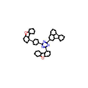 c1ccc2c(c1)-c1cccc3cc(-c4nc(-c5ccc(-c6cccc7oc8ccccc8c67)cc5)nc(-c5cccc6oc7ccccc7c56)n4)cc-2c13